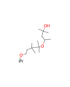 CC(C)OCCC(C)(C)C(C)(C)OC(C)CC(C)(C)O